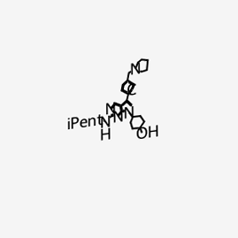 CCC[C@H](C)Nc1ncc2c(-c3ccc(CN4CCCCC4)cc3)cn(C3CCC(O)CC3)c2n1